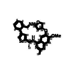 CNCc1ccccc1-c1c[se]c([C@@H](C)Nc2nc(C)nc3cc(OC)c(O[C@H]4CCOC4)cc23)c1